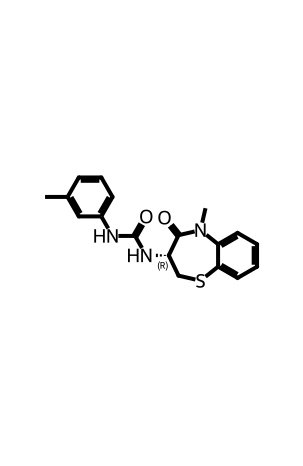 Cc1cccc(NC(=O)N[C@H]2CSc3ccccc3N(C)C2=O)c1